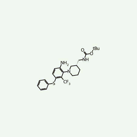 CC(C)(C)OC(=O)NC[C@@H]1CCCN(c2c(N)ccc(Sc3ccccc3)c2C(F)(F)F)C1